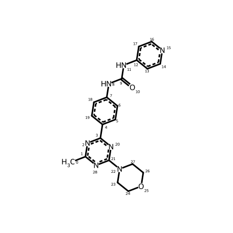 Cc1nc(-c2ccc(NC(=O)Nc3ccncc3)cc2)nc(N2CCOCC2)n1